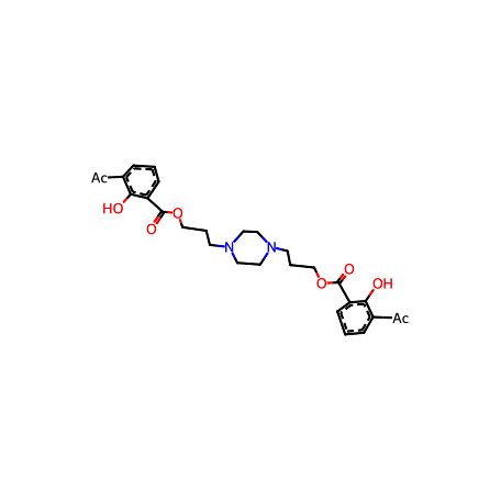 CC(=O)c1cccc(C(=O)OCCCN2CCN(CCCOC(=O)c3cccc(C(C)=O)c3O)CC2)c1O